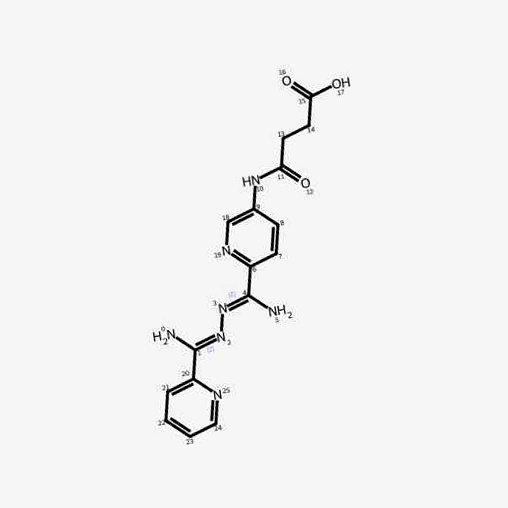 N/C(=N\N=C(/N)c1ccc(NC(=O)CCC(=O)O)cn1)c1ccccn1